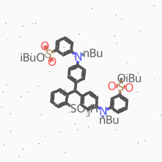 CCCCN(c1ccc(C(c2ccc(N(CCCC)c3cccc(S(=O)(=O)OCC(C)C)c3)cc2)c2ccccc2S(=O)(=O)O)cc1)c1cccc(S(=O)(=O)OCC(C)C)c1